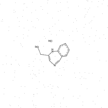 Cl.OCC1=CN=Cc2ccccc2N1